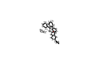 N#Cc1ccc2cc(C[P+](c3ccccc3)(c3ccccc3)c3ccccc3)ccc2c1.[Br-]